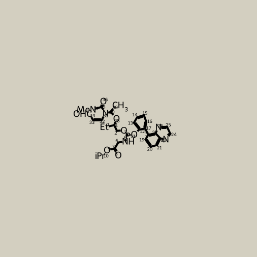 CCC(COP(NCC(=O)OC(C)C)Oc1ccccc1-c1cccc2nccnc12)OC(C)N(/C=C\C=O)C(=O)NC